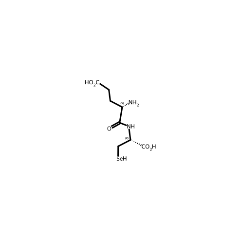 N[C@@H](CCC(=O)O)C(=O)N[C@@H](C[SeH])C(=O)O